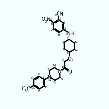 N#Cc1cc(N[C@H]2CC[C@H](OCC(=O)N3CCN(c4ccc(C(F)(F)F)cc4)CC3)CC2)ccc1[N+](=O)[O-]